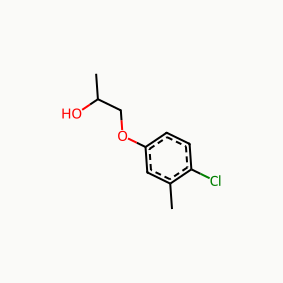 Cc1cc(OCC(C)O)ccc1Cl